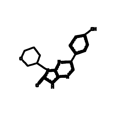 O=c1[nH]c2ncc(-c3ccc(O)cc3)nc2n1C1CCCOC1